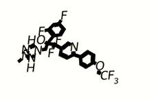 CN1N=CN(CC(O)(c2ccc(F)cc2F)C(F)(F)c2ccc(-c3ccc(OCC(F)(F)F)cc3)nc2)N1